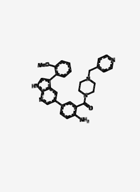 COc1ccccc1-c1c[nH]c2ncc(-c3ccc(N)c(C(=O)N4CCN(Cc5ccncc5)CC4)c3)cc12